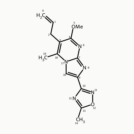 C=CCc1c(OC)nc2nc(-c3noc(C)n3)cn2c1C